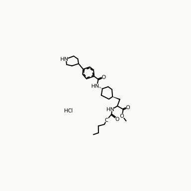 CCCCCC(=O)NC(C[C@H]1CC[C@H](NC(=O)c2ccc(C3CCNCC3)cc2)CC1)C(=O)OC.Cl